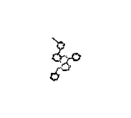 Clc1cccc(-c2cccnc2S[C@@H](c2ccccc2)C2CN(Cc3ccccc3)CCO2)c1